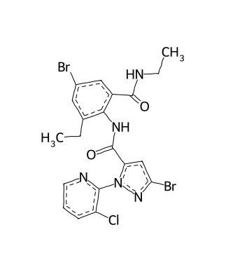 CCNC(=O)c1cc(Br)cc(CC)c1NC(=O)c1cc(Br)nn1-c1ncccc1Cl